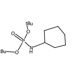 CC(C)(C)OP(=O)(NC1CCCCC1)OC(C)(C)C